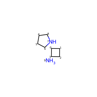 C1CCC1.C1CCNC1.N